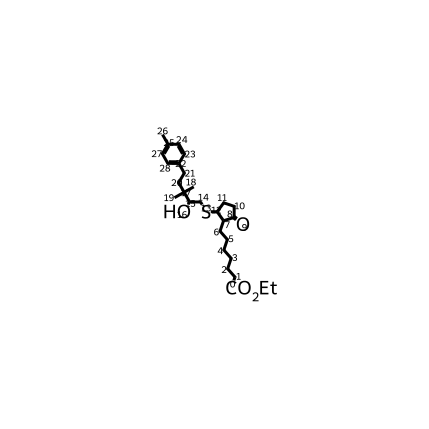 CCOC(=O)CCCCCCC1C(=O)CCC1SCC(O)C(C)(C)CCc1ccc(C)cc1